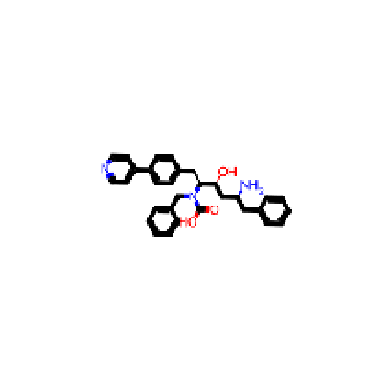 N[C@@H](Cc1ccccc1)C[C@@H](O)[C@H](Cc1ccc(-c2ccncc2)cc1)N(Cc1ccccc1)C(=O)O